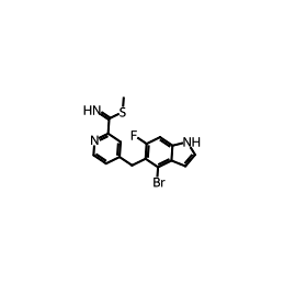 CSC(=N)c1cc(Cc2c(F)cc3[nH]ccc3c2Br)ccn1